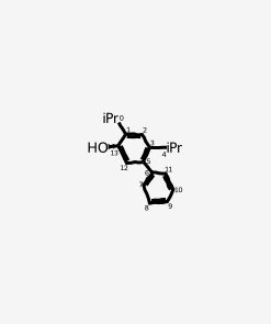 CC(C)c1cc(C(C)C)c(-c2ccccc2)cc1O